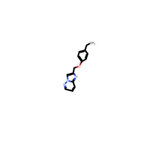 CCc1ccc(OCc2cn3ncccc3n2)cc1